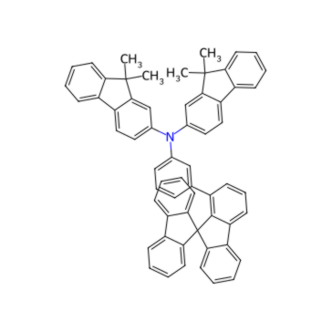 CC1(C)c2ccccc2-c2ccc(N(c3cccc(-c4cccc5c4C4(c6ccccc6-c6ccccc64)c4ccccc4-5)c3)c3ccc4c(c3)C(C)(C)c3ccccc3-4)cc21